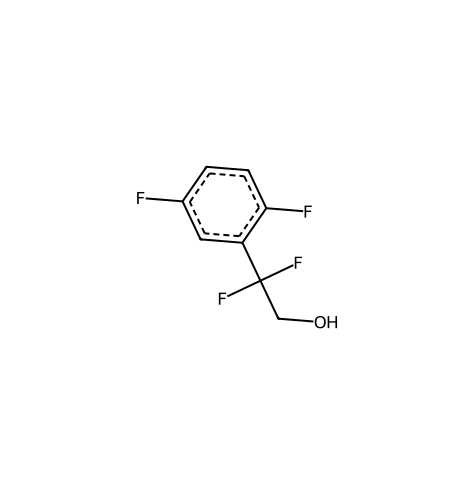 OCC(F)(F)c1cc(F)ccc1F